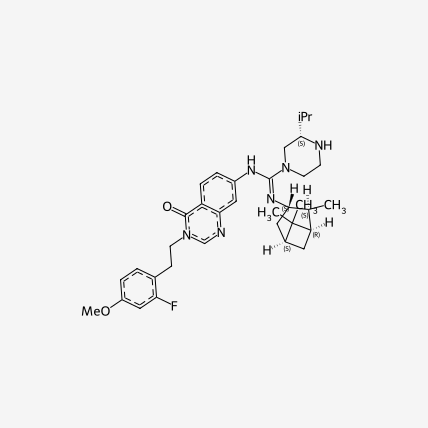 COc1ccc(CCn2cnc3cc(NC(=N[C@H]4C[C@@H]5C[C@H]([C@@H]4C)C5(C)C)N4CCN[C@@H](C(C)C)C4)ccc3c2=O)c(F)c1